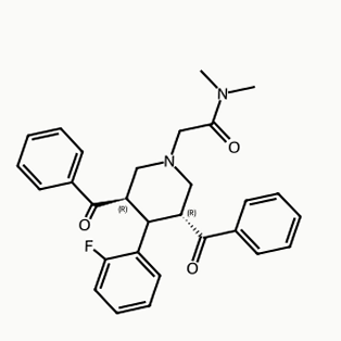 CN(C)C(=O)CN1C[C@H](C(=O)c2ccccc2)C(c2ccccc2F)[C@@H](C(=O)c2ccccc2)C1